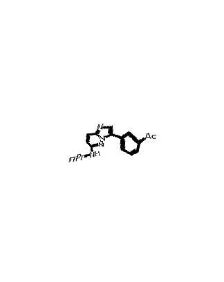 CCCNc1ccc2ncc(-c3cccc(C(C)=O)c3)n2n1